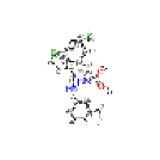 CCc1cccc(CNC[C](C(C)CC)[C@H](Cc2cc(F)cc(F)c2)NC(=O)OC)c1